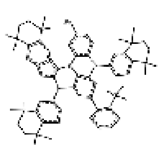 CC(C)(C)c1ccc2c(c1)B1c3c(cc(-c4ccccc4[Si](C)(C)C)cc3N(c3ccc4c(c3)C(C)(C)CCC4(C)C)c3sc4cc5c(cc4c31)C(C)(C)CCC5(C)C)N2c1ccc2c(c1)C(C)(C)CCC2(C)C